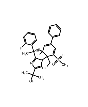 CC(C)(O)c1cn(C2(CO)C(S(C)(=O)=O)=CC(c3ccccc3)=CC2(F)Cl)c(C(C)(C)c2ccccc2F)n1